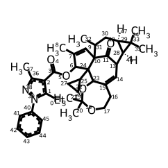 CCc1c(C(=O)OC2C(C)=CC34C(=O)C(C=C5CCOC(C)(C)OC5C23C2CC2)[C@H]2[C@@H](CC4C)C2(C)C)c(C)nn1-c1ccccc1